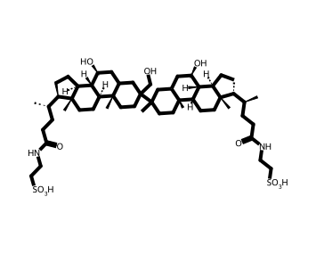 C[C@@H](CCC(=O)NCCS(=O)(=O)O)[C@H]1CC[C@@H]2[C@H]3[C@H](O)CC4CC(C)(C5(CO)CC[C@@]6(C)C(C[C@H](O)[C@H]7[C@@H]8CC[C@H]([C@@H](C)CCC(=O)NCCS(=O)(=O)O)[C@@]8(C)CC[C@@H]76)C5)CC[C@@]4(C)[C@@H]3CC[C@]21C